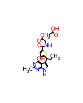 CCC(c1ccc(C(=O)N[C@@H](CCC(=O)O)C(=O)O)s1)c1c[nH]c2nc(C)nc(O)c12